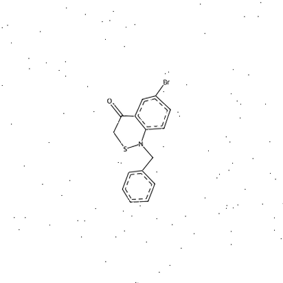 O=C1CSN(Cc2ccccc2)c2ccc(Br)cc21